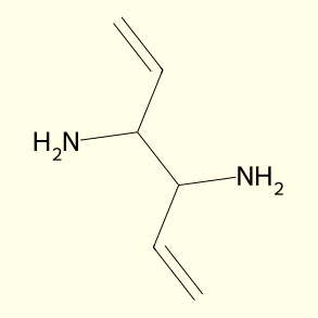 C=CC(N)C(N)C=C